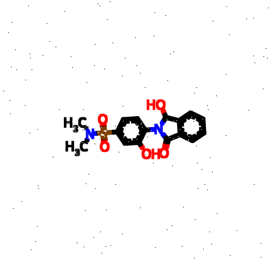 CN(C)S(=O)(=O)c1ccc(N2C(=O)c3ccccc3C2O)c(O)c1